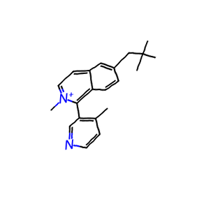 Cc1ccncc1-c1c2ccc(CC(C)(C)C)cc2cc[n+]1C